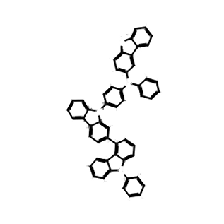 c1ccc(N(c2ccc(-n3c4ccccc4c4ccc(-c5cccc6c5c5ccccc5n6-c5ccccc5)cc43)cc2)c2ccc3sc4ccccc4c3c2)cc1